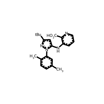 Cc1ccc(C)c(-n2nc(C(C)(C)C)cc2Nc2cccnc2C(=O)O)c1